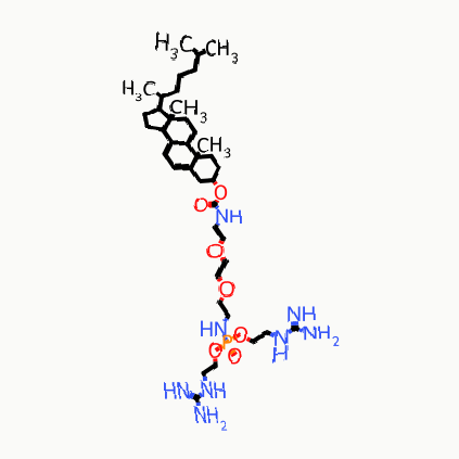 CC(C)CCCC(C)C1CCC2C3CC=C4CC(OC(=O)NCCOCCOCCNP(=O)(OCCNC(=N)N)OCCNC(=N)N)CCC4(C)C3CCC12C